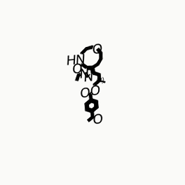 CCn1nc(C[C@@H](C)COC(=O)c2ccc(C(C)=O)cc2)c2c1C(=O)NCCCOCCC2